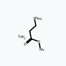 CCCCCCCC(=O)OCCC.[CaH2]